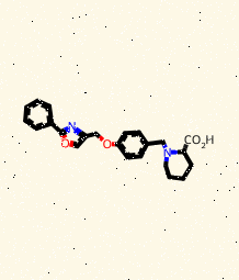 O=C(O)C1CCCCN1Cc1ccc(OCc2coc(-c3ccccc3)n2)cc1